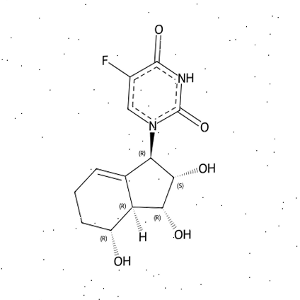 O=c1[nH]c(=O)n([C@@H]2C3=CCC[C@@H](O)[C@@H]3[C@@H](O)[C@H]2O)cc1F